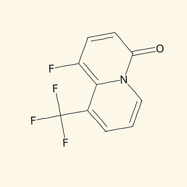 O=c1ccc(F)c2c(C(F)(F)F)cccn12